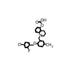 Cc1ccc(OCc2ccc(Cl)cc2F)c(CN2CCCc3c(OC(=O)O)cccc32)c1